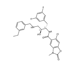 CCc1cccc(CNC[C@H](O)[C@H](Cc2cc(F)cc(F)c2)NC(=O)c2cc3c(cc2Cl)oc(=O)n3C)c1